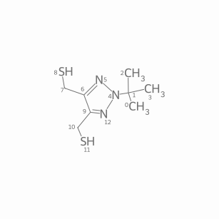 CC(C)(C)n1nc(CS)c(CS)n1